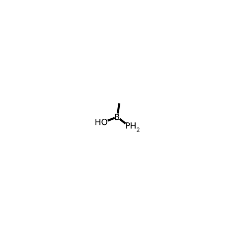 CB(O)P